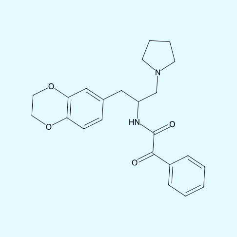 O=C(NC(Cc1ccc2c(c1)OCCO2)CN1CCCC1)C(=O)c1ccccc1